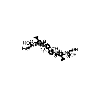 Cc1c(NC(=O)c2cc(C3CC3)c(CNC(CCO)C(=O)O)cn2)cccc1-c1cccc(NC(=O)c2cc(C3CC3)c(CNC(CCO)C(=O)O)cn2)c1C